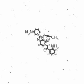 CC#CCn1c(N2CCCC(N)C2)nc2ccn(CC(=O)c3ccccc3N)c(=O)c21